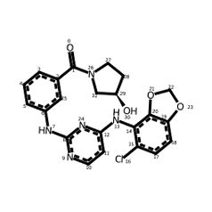 O=C(c1cccc(Nc2nccc(Nc3c(Cl)ccc4c3OCO4)n2)c1)N1CC[C@@H](O)C1